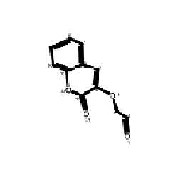 O=CCOc1cc2ccccc2oc1=O